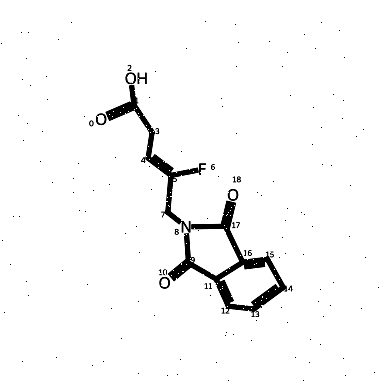 O=C(O)C/C=C(\F)CN1C(=O)c2ccccc2C1=O